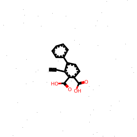 C#Cc1c(-c2ccccc2)ccc(C(=O)O)c1C(=O)O